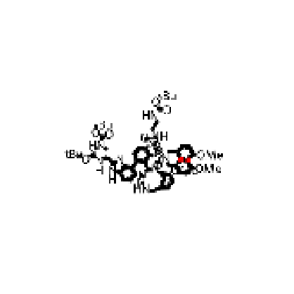 COc1ccc(CN(Cc2ccc(OC)cc2)S(=O)(=O)c2c(S(=O)(=O)NCCNC(=O)OC(C)(C)C)ccc(-c3cccc4[nH]c([C@@H](CNC(=O)OC(C)(C)C)NC(=O)OC(C)(C)C)nc34)c2C2=N/c3cc(ccc3OC)CN/N=N\2)cc1